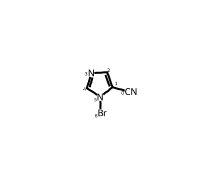 N#Cc1cncn1Br